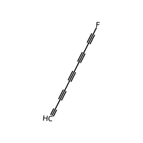 C#CC#CC#CC#CC#CF